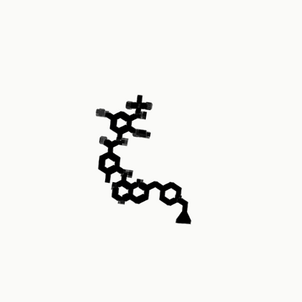 COc1c(NC(=O)c2ccc(C)c(Nc3ncnc4ccc(CC5CCN(CC6CC6)CC5)nc34)c2)cc(C(C)(C)C)cc1NS(C)(=O)=O